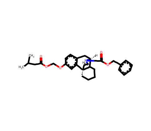 CC(C)CC(=O)OCOc1ccc2c(c1)[C@]13CCCC[C@@H]1[C@H](C2)N(C(=O)OCc1ccccc1)CC3